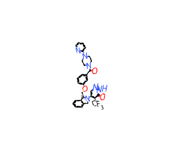 O=C(c1cccc(OC[C@@H]2c3ccccc3CN2c2cn[nH]c(=O)c2C(F)(F)F)c1)N1CCN(c2ccccn2)CC1